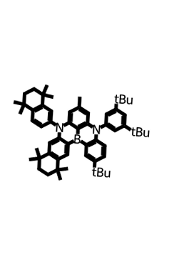 Cc1cc2c3c(c1)N(c1ccc4c(c1)C(C)(C)CCC4(C)C)c1cc4c(cc1B3c1cc(C(C)(C)C)ccc1N2c1cc(C(C)(C)C)cc(C(C)(C)C)c1)C(C)(C)CCC4(C)C